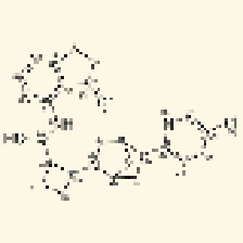 [O-][S@+]1CCc2ncnc(NC(O)C3CCC3N3CC4CC3CC4c3ncc(Cl)cn3)c21